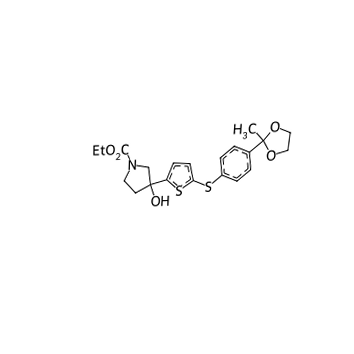 CCOC(=O)N1CCC(O)(c2ccc(Sc3ccc(C4(C)OCCO4)cc3)s2)C1